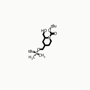 CC(C)(C)OC(=O)N1CCC(CO[Si](C)(C)C(C)(C)C)CC1CO